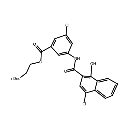 CCCCCCCCCCCCOC(=O)c1cc(Cl)cc(NC(=O)c2cc(Cl)c3ccccc3c2O)c1